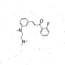 CN(C)CCN(C)c1cccc(C=CC(=O)c2ccccc2F)c1